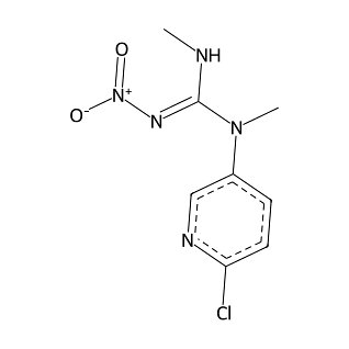 CNC(=N[N+](=O)[O-])N(C)c1ccc(Cl)nc1